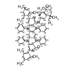 Cc1cc(C)c(-c2cc3c4c(n2)Oc2ccccc2B4c2cc4c(cc2N3c2ccccc2)N(c2ccccc2)c2cc(-c3c(C)cc(C)cc3C)nc3c2B4c2ccccc2N3c2ccc3c(c2)C(C)(C)CCC3(C)C)c(C)c1